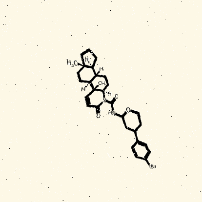 CC(C)(C)c1ccc(C2CCOC(NC(=O)N3C(=O)C=C[C@]4(C)[C@H]5CC[C@]6(C)CCC[C@H]6[C@@H]5CC[C@@H]34)C2)cc1